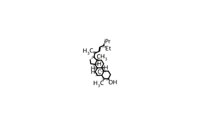 CC[C@H](C=C[C@@H](C)[C@H]1CC[C@H]2[C@@H]3CCC4[C@H](C)[C@H](O)CC[C@]4(C)[C@H]3CC[C@]12C)C(C)C